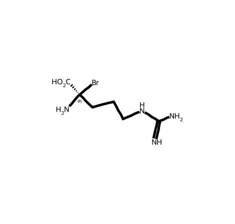 N=C(N)NCCC[C@@](N)(Br)C(=O)O